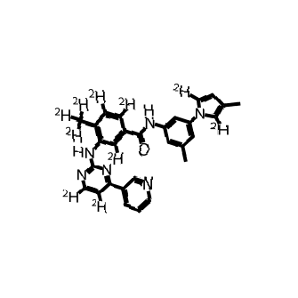 [2H]c1nc(Nc2c([2H])c(C(=O)Nc3cc(C)cc(-n4c([2H])cc(C)c4[2H])c3)c([2H])c([2H])c2C([2H])([2H])[2H])nc(-c2cccnc2)c1[2H]